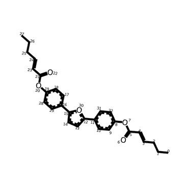 CCC/C=C/C(=O)Oc1ccc(-c2ccc(-c3ccc(OC(=O)/C=C/CCC)cc3)o2)cc1